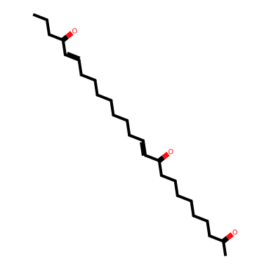 CCCC(=O)C=CCCCCCCCC=CC(=O)CCCCCCCC(C)=O